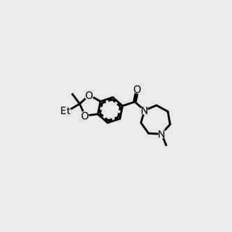 CCC1(C)Oc2ccc(C(=O)N3CCCN(C)CC3)cc2O1